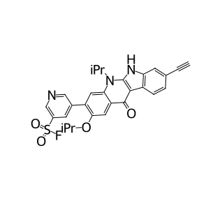 C#Cc1ccc2c(c1)[nH]c1c2c(=O)c2cc(OC(C)C)c(-c3cncc(S(=O)(=O)F)c3)cc2n1C(C)C